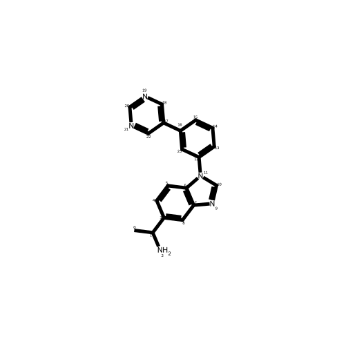 CC(N)c1ccc2c(c1)ncn2-c1cccc(-c2cncnc2)c1